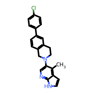 Cc1c(N2CCc3cc(-c4ccc(Cl)cc4)ccc3C2)cnc2[nH]ccc12